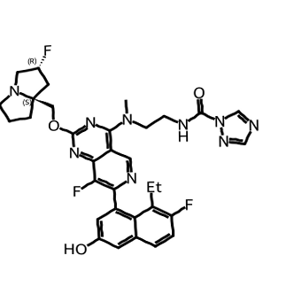 CCc1c(F)ccc2cc(O)cc(-c3ncc4c(N(C)CCNC(=O)n5cncn5)nc(OC[C@@]56CCCN5C[C@H](F)C6)nc4c3F)c12